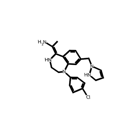 C/C(N)=C1/NCCN(c2ccc(Cl)cc2)c2cc(CN3C=CCN3)ccc21